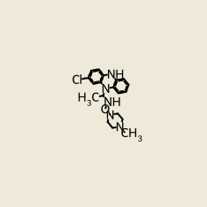 CC(NON1CCN(C)CC1)N1c2ccccc2Nc2ccc(Cl)cc21